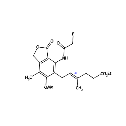 CCOC(=O)CC/C(C)=C/Cc1c(NC(=O)CF)c2c(c(C)c1OC)COC2=O